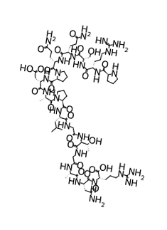 CC(C)C[C@H](NC(=O)[C@@H]1CCCN1C(=O)[C@H](C)NC(=O)[C@H](CC(=O)O)NC(=O)[C@@H]1CCCN1C(=O)[C@H](CCC(N)=O)NC(=O)[C@H](CCC(N)=O)NC(=O)[C@H](CO)NC(=O)[C@H](CCCNC(=N)N)NC(=O)[C@@H]1CCCN1)C(=O)NCC(=O)N[C@H](C(=O)NCC(=O)N[C@@H](C)C(=O)N[C@@H](CC(N)=O)C(=O)N[C@@H](CCCNC(=N)N)C(=O)O)[C@@H](C)O